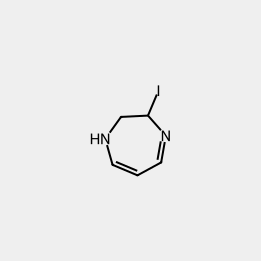 IC1CNC=CC=N1